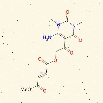 COC(=O)/C=C/C(=O)OCC(=O)c1c(N)n(C)c(=O)n(C)c1=O